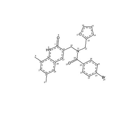 Cc1cc(C)c2[nH]c(=O)c(CN(Cc3ccco3)C(=O)c3ccc(Br)cc3)cc2c1